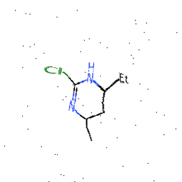 CCC1CC(C)N=C(Cl)N1